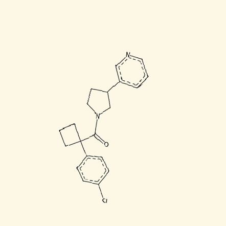 O=C(N1CCC(c2cccnc2)C1)C1(c2ccc(Cl)cc2)CCC1